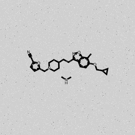 CNC.Cc1c(OCC2CC2)ccc2c(CCC3CCN(Cc4ccc(C#N)o4)CC3)noc12